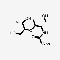 CCCCCCCCCC(=O)N[C@@H](CO)C(C)OC(CO)[C@H](C)O